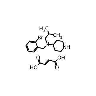 CC(C)CN(Cc1ccccc1Br)C1CCNCC1.O=C(O)C=CC(=O)O